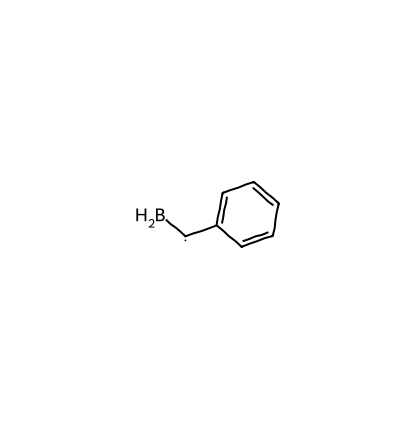 B[CH]c1ccccc1